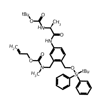 C=CCOC(=O)N(C)Cc1cc(NC(=O)[C@H](C)NC(=O)OC(C)(C)C)ccc1CO[Si](c1ccccc1)(c1ccccc1)C(C)(C)C